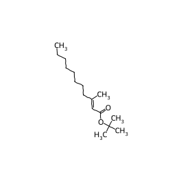 CCCCCCCC/C(C)=C/C(=O)OC(C)(C)C